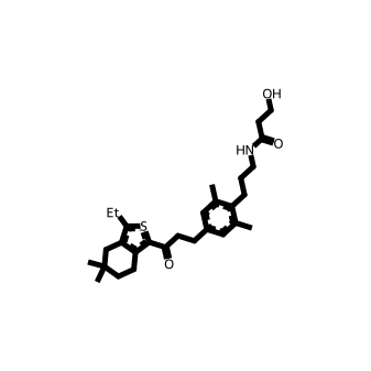 CCc1sc(C(=O)CCc2cc(C)c(CCCNC(=O)CCO)c(C)c2)c2c1CC(C)(C)CC2